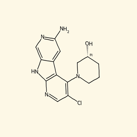 Nc1cc2c(cn1)[nH]c1ncc(Cl)c(N3CCC[C@@H](O)C3)c12